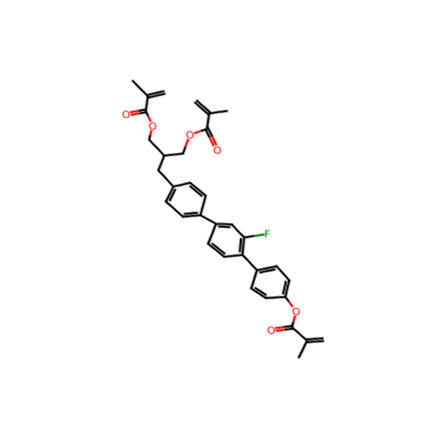 C=C(C)C(=O)OCC(COC(=O)C(=C)C)Cc1ccc(-c2ccc(-c3ccc(OC(=O)C(=C)C)cc3)c(F)c2)cc1